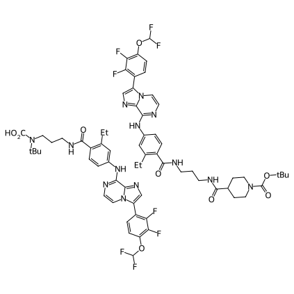 CCc1cc(Nc2nccn3c(-c4ccc(OC(F)F)c(F)c4F)cnc23)ccc1C(=O)NCCCN(C(=O)O)C(C)(C)C.CCc1cc(Nc2nccn3c(-c4ccc(OC(F)F)c(F)c4F)cnc23)ccc1C(=O)NCCCNC(=O)C1CCN(C(=O)OC(C)(C)C)CC1